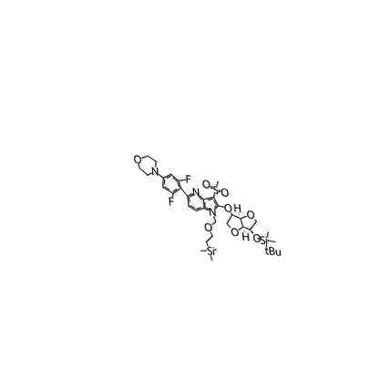 CC(C)(C)[Si](C)(C)O[C@@H]1CO[C@H]2[C@@H]1OC[C@H]2Oc1c(S(C)(=O)=O)c2nc(-c3c(F)cc(N4CCOCC4)cc3F)ccc2n1COCC[Si](C)(C)C